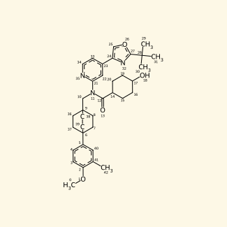 COc1ccc(C23CCC(CN(C(=O)C4CCC(O)CC4)c4cc(-c5coc(C(C)(C)C)n5)ccn4)(CC2)CC3)cc1C